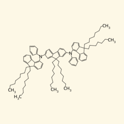 CCCCCCCCC1(CCCCCCCC)c2cc(N(c3ccccc3)c3cccc4c3-c3ccccc3C4(CCCCCCC)CCCCCCCC)ccc2-c2ccc(N(c3ccccc3)c3cccc4c3-c3ccccc3C4(CCCCCCCC)CCCCCCCC)cc21